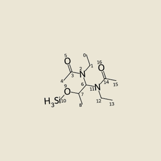 CCN(C(C)=O)C(C(C)O[SiH3])N(CC)C(C)=O